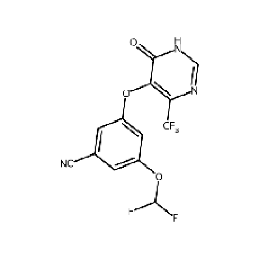 N#Cc1cc(Oc2c(C(F)(F)F)nc[nH]c2=O)cc(OC(F)F)c1